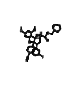 COc1cc(OC)c2c(c1)OC1(c3ccc(C#N)cc3)C(c3cccc(F)c3)CC(NC(=O)OCc3ccccc3)C21O